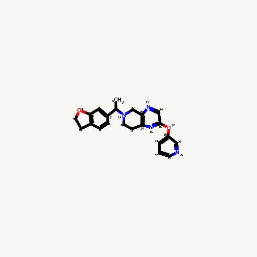 CC(c1ccc2c(c1)OCC2)N1CCc2nc(Oc3cccnc3)cnc2C1